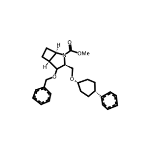 COC(=O)N1[C@@H]2CC[C@@H]2C(OCc2ccccc2)[C@@H]1CO[C@H]1CC[C@@H](c2ccccc2)CC1